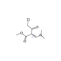 COC(=O)/C(=C/N(C)C)C(=O)CCl